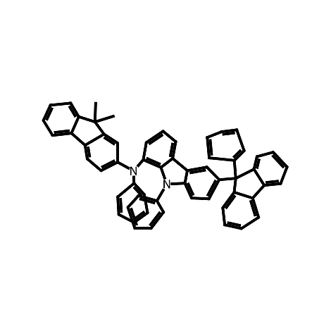 CC1(C)c2ccccc2-c2ccc(N(c3ccccc3)c3cccc4c5cc(C6(c7ccccc7)c7ccccc7-c7ccccc76)ccc5n(-c5ccccc5)c34)cc21